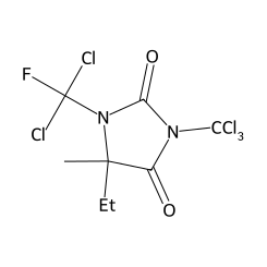 CCC1(C)C(=O)N(C(Cl)(Cl)Cl)C(=O)N1C(F)(Cl)Cl